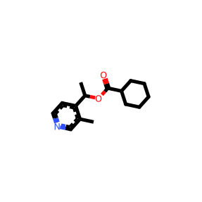 Cc1cnccc1C(C)OC(=O)C1CCCCC1